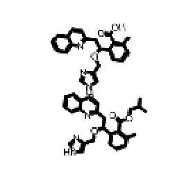 Cc1cccc(C(Cc2ccc3ccccc3n2)OCc2c[nH]cn2)c1C(=O)O.Cc1cccc(C(Cc2ccc3ccccc3n2)OCc2c[nH]cn2)c1C(=O)OCC(C)C